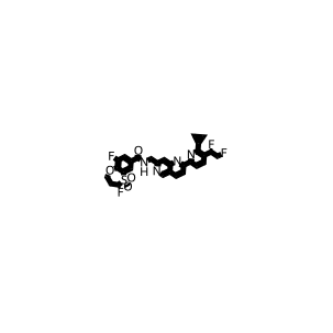 O=C(NCc1cc2nc(-c3ccc([C@@H](F)CF)c(C4CC4)n3)ccc2cn1)c1cc(F)c2c(c1)S(=O)(=O)[C@@H](F)CCO2